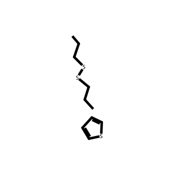 CCCSSCCC.c1ccsc1